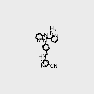 N#Cc1cnnc(NCc2ccc(-n3c(-c4cccnc4N)nc4cccnc43)cc2)c1